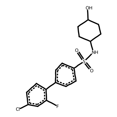 O=S(=O)(NC1CCC(O)CC1)c1ccc(-c2ccc(Cl)cc2F)cc1